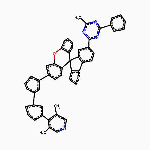 Cc1nc(-c2ccccc2)nc(-c2ccc3c(c2)C2(c4ccccc4Oc4cc(-c5cccc(-c6cccc(-c7c(C)cncc7C)c6)c5)ccc42)c2ccccc2-3)n1